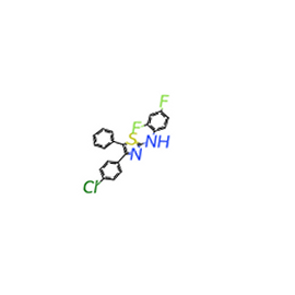 Fc1ccc(Nc2nc(-c3ccc(Cl)cc3)c(-c3ccccc3)s2)c(F)c1